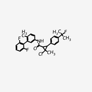 Cc1ccc(NC(=O)C2C(c3ccc(C(C)(C)F)cc3)C2(C)Cl)cc1-c1c(F)cccc1F